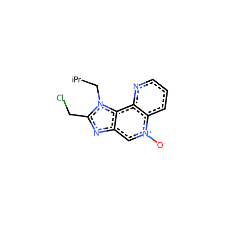 CC(C)Cn1c(CCl)nc2c[n+]([O-])c3cccnc3c21